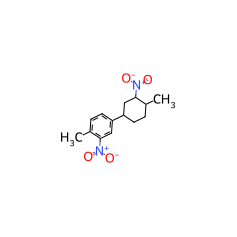 Cc1ccc(C2CCC(C)C([N+](=O)[O-])C2)cc1[N+](=O)[O-]